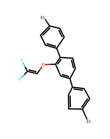 CCc1ccc(-c2ccc(-c3ccc(CC)cc3)c(OC=C(F)F)c2)cc1